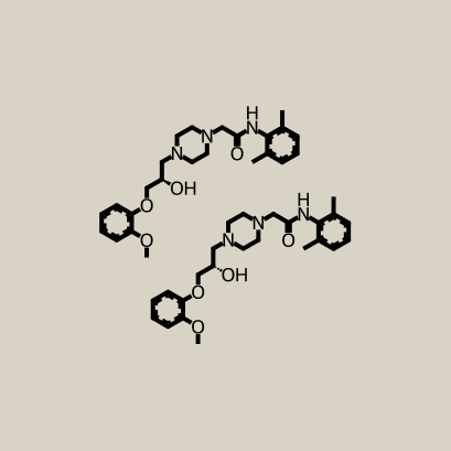 COc1ccccc1OC[C@@H](O)CN1CCN(CC(=O)Nc2c(C)cccc2C)CC1.COc1ccccc1OC[C@H](O)CN1CCN(CC(=O)Nc2c(C)cccc2C)CC1